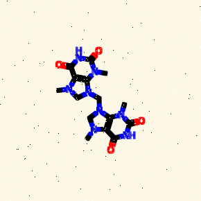 CN1CN(CN2CN(C)c3c2n(C)c(=O)[nH]c3=O)c2c1c(=O)[nH]c(=O)n2C